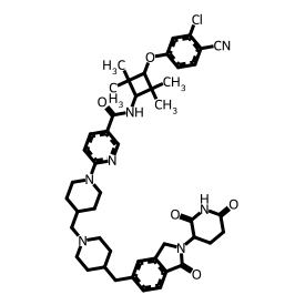 CC1(C)C(NC(=O)c2ccc(N3CCC(CN4CCC(Cc5ccc6c(c5)CN(C5CCC(=O)NC5=O)C6=O)CC4)CC3)nc2)C(C)(C)C1Oc1ccc(C#N)c(Cl)c1